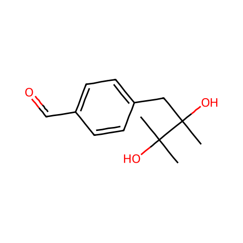 CC(C)(O)C(C)(O)Cc1ccc(C=O)cc1